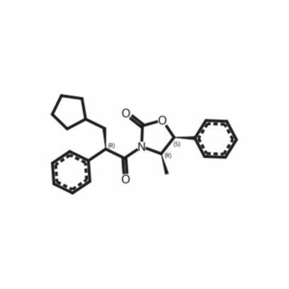 C[C@@H]1[C@H](c2ccccc2)OC(=O)N1C(=O)[C@H](CC1CCCC1)c1ccccc1